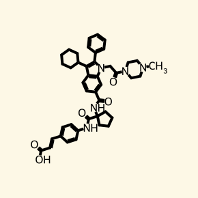 CN1CCN(C(=O)Cn2c(-c3ccccc3)c(C3CCCCC3)c3ccc(C(=O)NC4(C(=O)Nc5ccc(C=CC(=O)O)cc5)CCCC4)cc32)CC1